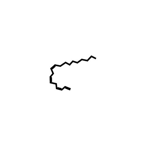 C=C/C=C\C/C=C\C/C=C\CCCCCCCCC